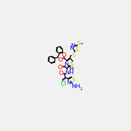 CSc1nnc(SCC2=C(C(=O)OC(c3ccccc3)c3ccccc3)N3C(=O)C(NC(=O)/C(=C/Cl)c4csc(N)n4)[C@H]3SC2)s1